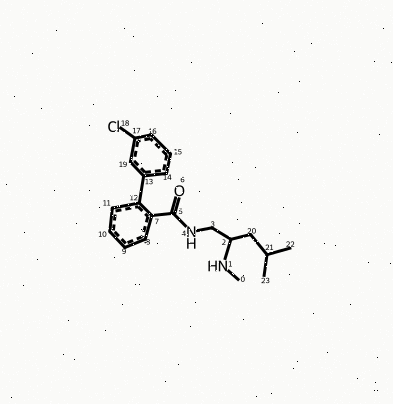 CNC(CNC(=O)c1[c]cccc1-c1cccc(Cl)c1)CC(C)C